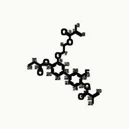 C=C(C)C(=O)OCCOc1cc(-c2ccc(OC(=O)C(=C)C)c(F)c2)ccc1OC(=O)CC